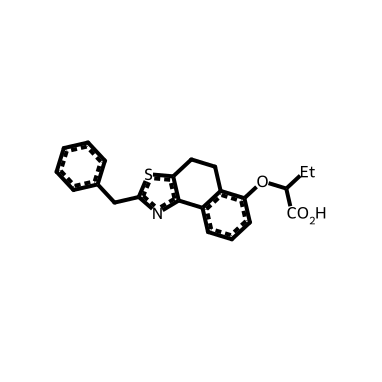 CCC(Oc1cccc2c1CCc1sc(Cc3ccccc3)nc1-2)C(=O)O